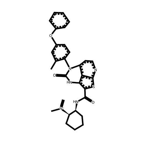 C=[N+](C)[C@@H]1CCCC[C@@H]1NC(=O)c1sc2nccc3c2c1NC(=O)N3c1ccc(Oc2ccccc2)cc1C